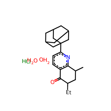 CCC1CC(C)c2nc(C34CC5CC(CC(C5)C3)C4)ccc2C1=O.Cl.O.O